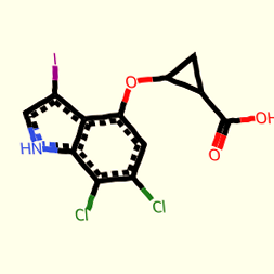 O=C(O)C1CC1Oc1cc(Cl)c(Cl)c2[nH]cc(I)c12